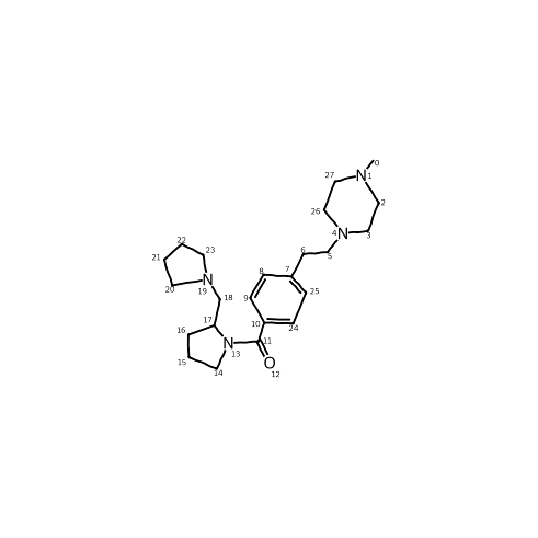 CN1CCN(CCc2ccc(C(=O)N3CCCC3CN3CCCC3)cc2)CC1